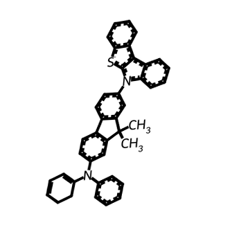 CC1(C)c2cc(N(C3=CC=CCC3)c3ccccc3)ccc2-c2ccc(-n3c4ccccc4c4c5ccccc5sc43)cc21